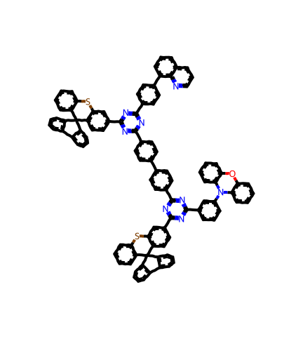 c1cc(-c2nc(-c3ccc(-c4ccc(-c5nc(-c6ccc(-c7cccc8cccnc78)cc6)nc(-c6ccc7c(c6)Sc6ccccc6C76c7ccccc7-c7ccccc76)n5)cc4)cc3)nc(-c3ccc4c(c3)Sc3ccccc3C43c4ccccc4-c4ccccc43)n2)cc(N2c3ccccc3Oc3ccccc32)c1